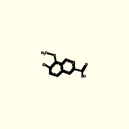 COc1c(Cl)ccc2cc(C(=O)O)ncc12